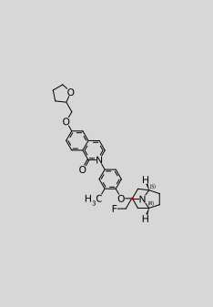 Cc1cc(-n2ccc3cc(OCC4CCCO4)ccc3c2=O)ccc1OC1C[C@H]2CC[C@@H](C1)N2CCF